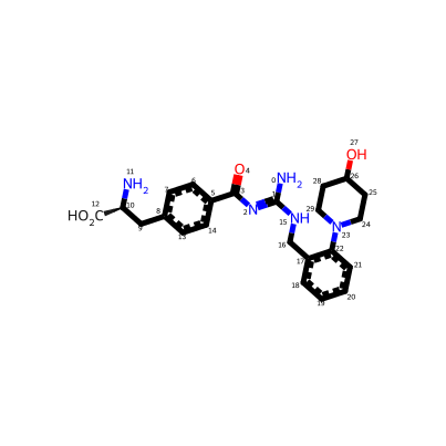 N/C(=N\C(=O)c1ccc(C[C@H](N)C(=O)O)cc1)NCc1ccccc1N1CCC(O)CC1